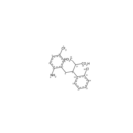 Nc1ccc(C(F)(F)F)cc1CC(c1ccccc1Cl)C(C(=O)O)C(=O)O